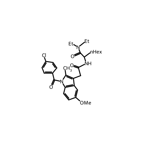 CCCCCCC(NC(=O)Cc1c(C)n(C(=O)c2ccc(Cl)cc2)c2ccc(OC)cc12)C(=O)N(CC)CC